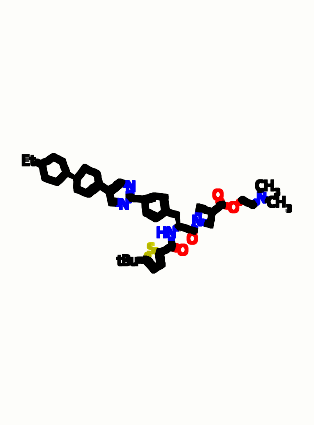 CCC1CCC([C@@H]2CC=C(c3cnc(-c4ccc(C[C@H](NC(=O)c5ccc(C(C)(C)C)s5)C(=O)N5CC(C(=O)OCCN(C)C)C5)cc4)nc3)CC2)CC1